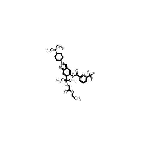 CCOC(=O)COC(C)(C)c1cc2nn([C@H]3CC[C@H](C(C)C)CC3)cc2cc1NC(=O)c1cccc(C(F)(F)F)n1